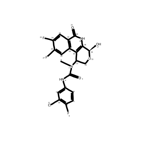 CN(C(=O)Nc1ccc(F)c(Cl)c1)C1CO[C@H](O)c2[nH]c(=O)c3cc(F)c(F)cc3c21